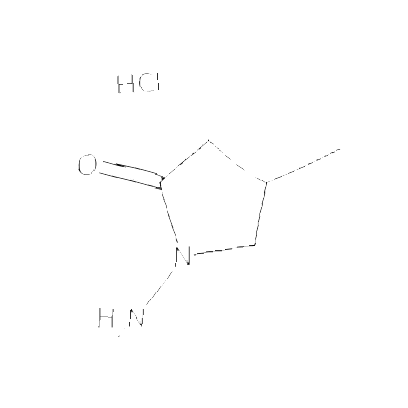 CC1CC(=O)N(N)C1.Cl